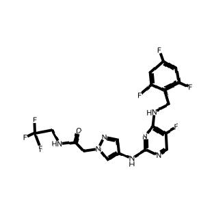 O=C(Cn1cc(Nc2ncc(F)c(NCc3c(F)cc(F)cc3F)n2)cn1)NCC(F)(F)F